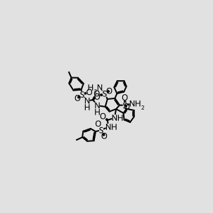 Cc1ccc(S(=O)(=O)NC(=O)NC2=CC(NC(=O)NS(=O)(=O)c3ccc(C)cc3)(c3ccccc3)C(S(N)(=O)=O)=C(c3ccccc3)C2S(N)(=O)=O)cc1